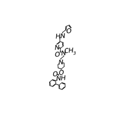 CN(CCN1CCC(OC(=O)Nc2ccccc2-c2ccccc2)CC1)C(=O)c1ccc(CNCc2ccco2)cn1